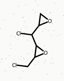 ClCC1OC1C(Cl)C1CO1